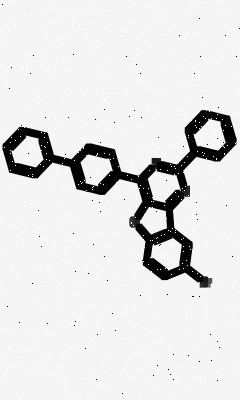 Brc1ccc2oc3c(-c4ccc(-c5ccccc5)cc4)nc(-c4ccccc4)nc3c2c1